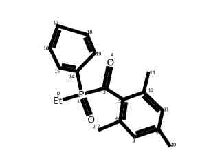 CCP(=O)(C(=O)c1c(C)cc(C)cc1C)c1ccccc1